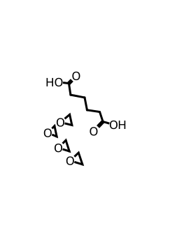 C1CO1.C1CO1.C1CO1.C1CO1.O=C(O)CCCCC(=O)O